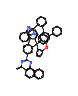 C=C(/N=C(\N=C(/C)c1ccccc1)c1ccc2c(c1)C1(c3ccccc3Oc3ccc(-c4ccccc4-c4nc5ccccc5n4-c4cccc(-c5ccccc5)c4)cc31)c1ccccc1-2)c1ccccc1